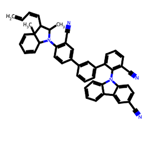 C=C/C=C\C1C(C)N(c2ccc(-c3cccc(-c4cccc(C#N)c4-n4c5ccccc5c5cc(C#N)ccc54)c3)cc2C#N)C2C=CC=CC12C